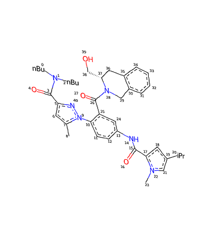 CCCCN(CCCC)C(=O)c1cc(C)n(-c2ccc(NC(=O)c3cc(C(C)C)cn3C)cc2C(=O)N2Cc3ccccc3C[C@H]2CO)n1